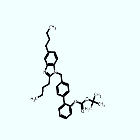 CCCCc1ccc2c(c1)nc(CCCC)n2Cc1ccc(-c2ccccc2OC(=O)OC(C)(C)C)cc1